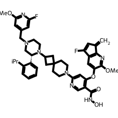 C=C1C=C(F)c2cc(Oc3cc(N4CCC5(CC4)CC(N4CCN(Cc6cc(F)nc(OC)c6)C[C@H]4c4ccccc4C(C)C)C5)ncc3C(=O)NO)c(OC)nc21